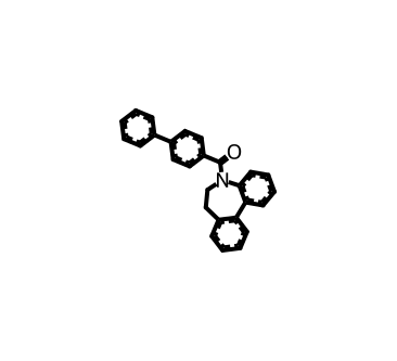 O=C(c1ccc(-c2ccccc2)cc1)N1CCc2ccccc2-c2ccccc21